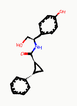 O=C(N[C@@H](CO)c1ccc(O)cc1)[C@H]1C[C@@H]1c1ccccc1